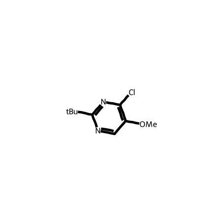 COc1cnc(C(C)(C)C)nc1Cl